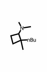 CCCCC1(C)CCC1N(C)C